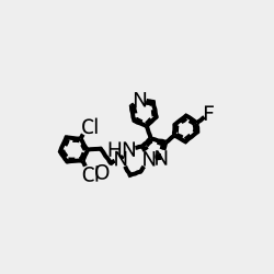 O=C(Cc1c(Cl)cccc1Cl)N1CCn2nc(-c3ccc(F)cc3)c(-c3ccncc3)c2N1